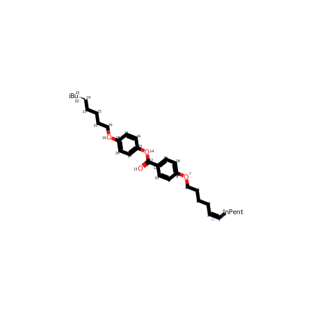 CCCCC/C=C\CCCCOc1ccc(C(=O)Oc2ccc(OCCCCC[C@@H](C)CC)cc2)cc1